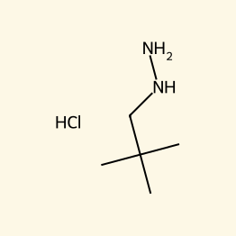 CC(C)(C)CNN.Cl